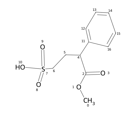 COC(=O)C(CCS(=O)(=O)O)c1ccccc1